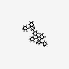 c1ccc(-c2nc(-c3ccc(-c4c(-c5ccccc5)n5ncc(-c6ccccc6)c5c5ccccc45)cc3)nc3ccccc23)cc1